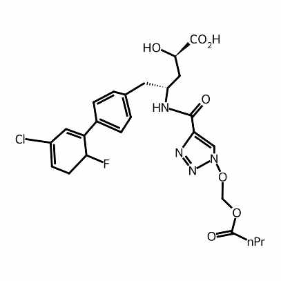 CCCC(=O)OCOn1cc(C(=O)N[C@H](Cc2ccc(C3=CC(Cl)=CCC3F)cc2)C[C@@H](O)C(=O)O)nn1